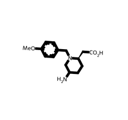 COc1ccc(CN2CC(N)CC[C@@H]2CC(=O)O)cc1